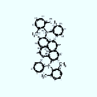 Cc1cccc(C)c1N(c1ccccc1)c1ccc2ccc3c(N(c4ccccc4)c4c(C)cccc4C)ccc4ccc1c2c43